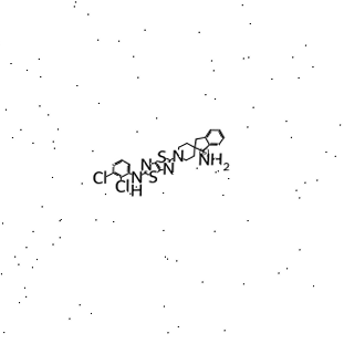 N[C@@H]1c2ccccc2CC12CCN(c1nc3sc(Nc4cccc(Cl)c4Cl)nc3s1)CC2